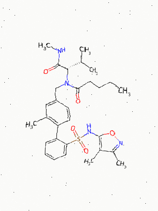 CCCCC(=O)N(Cc1ccc(-c2ccccc2S(=O)(=O)Nc2onc(C)c2C)c(C)c1)[C@H](C(=O)NC)C(C)C